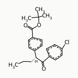 CCC[C@@H](C(=O)c1ccc(Cl)cc1)c1ccc(C(=O)OC(C)(C)C)cc1